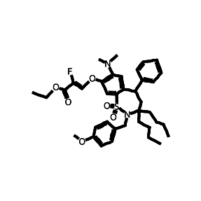 CCCCC1(CCCC)CC(c2ccccc2)c2cc(N(C)C)c(O/C=C(\F)C(=O)OCC)cc2S(=O)(=O)N1Cc1ccc(OC)cc1